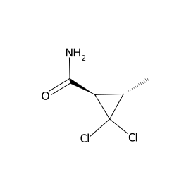 C[C@H]1[C@H](C(N)=O)C1(Cl)Cl